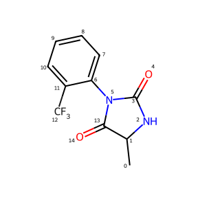 CC1NC(=O)N(c2ccccc2C(F)(F)F)C1=O